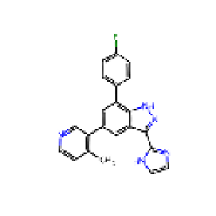 Cc1ccncc1-c1cc(-c2ccc(F)cc2)c2[nH]nc(-c3ncc[nH]3)c2c1